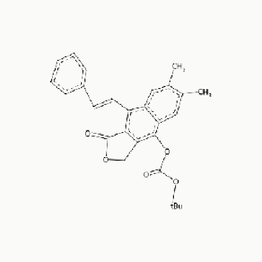 Cc1cc2c(/C=C/c3ccccc3)c3c(c(OC(=O)OC(C)(C)C)c2cc1C)COC3=O